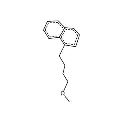 [CH2]OCCCCc1cccc2ccccc12